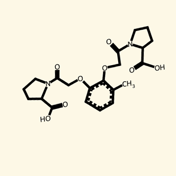 Cc1cccc(OCC(=O)N2CCCC2C(=O)O)c1OCC(=O)N1CCCC1C(=O)O